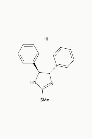 CSC1=N[C@@H](c2ccccc2)[C@H](c2ccccc2)N1.I